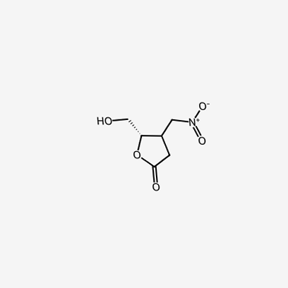 O=C1CC(C[N+](=O)[O-])[C@@H](CO)O1